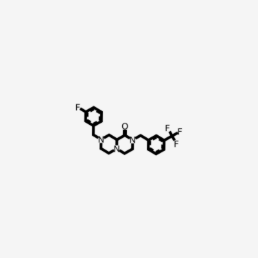 O=C1C2CN(Cc3cccc(F)c3)CCN2CCN1Cc1cccc(C(F)(F)F)c1